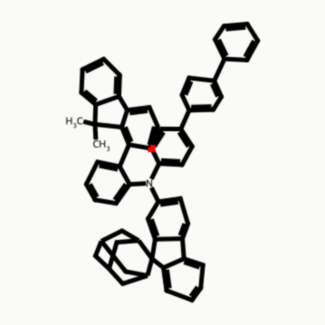 CC1(C)c2ccccc2-c2cccc(-c3ccccc3N(c3ccc(-c4ccc(-c5ccccc5)cc4)cc3)c3ccc4c(c3)C3(c5ccccc5-4)C4CC5CC(C4)CC3C5)c21